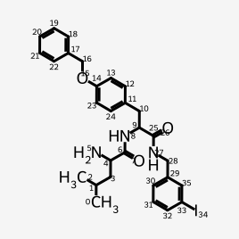 CC(C)CC(N)C(=O)NC(Cc1ccc(OCc2ccccc2)cc1)C(=O)NCc1cccc(I)c1